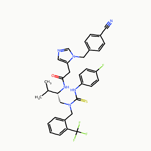 CC(C)[C@@H](CN(Cc1ccccc1C(F)(F)F)C(=S)Nc1ccc(F)cc1)NC(=O)Cc1cncn1Cc1ccc(C#N)cc1